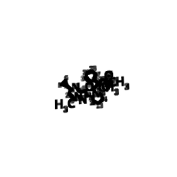 Cc1cc(C2CC2)nc2cc([C@@H]3CCCCN3C(=O)[C@](C)(CS(C)(=O)=O)c3ccccc3)nn12